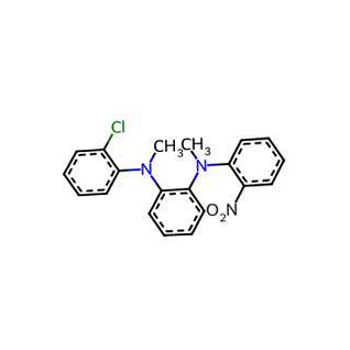 CN(c1ccccc1Cl)c1ccccc1N(C)c1ccccc1[N+](=O)[O-]